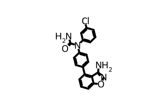 NC(=O)N(c1ccc(-c2cccc3onc(N)c23)cc1)c1cccc(Cl)c1